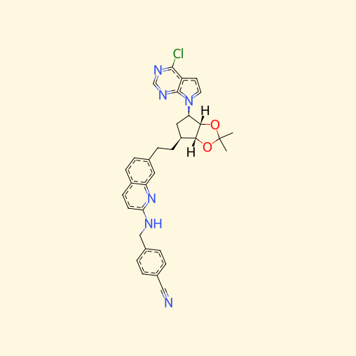 CC1(C)O[C@@H]2[C@@H](CCc3ccc4ccc(NCc5ccc(C#N)cc5)nc4c3)C[C@@H](n3ccc4c(Cl)ncnc43)[C@@H]2O1